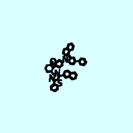 C1=C(c2nc(-c3ccc4ccccc4c3)c3sc4ccccc4c3n2)c2c(oc3cc(-n4c5ccc(-c6ccccc6)cc5c5c6ccccc6ccc54)ccc23)CC1